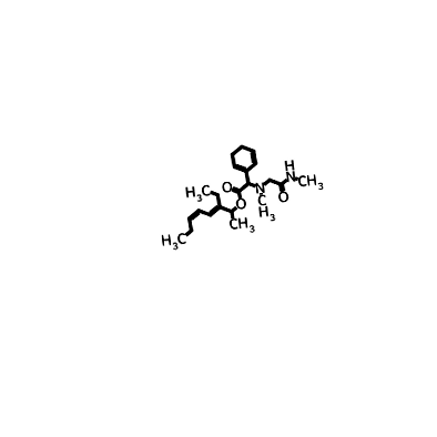 CC/C=C\C=C(/CC)C(C)OC(=O)C(C1=CCCC=C1)N(C)CC(=O)NC